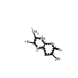 Cc1[nH]c2nc(=S)c(C(C)C)cc-2nc1F